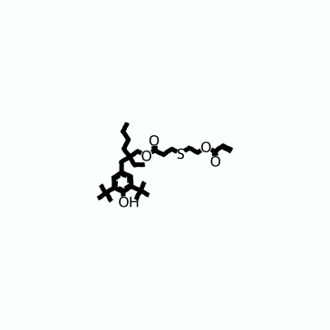 C=CC(=O)OCCSCCC(=O)OCC(CC)(CCCC)Cc1cc(C(C)(C)C)c(O)c(C(C)(C)C)c1